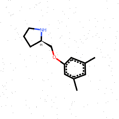 Cc1cc(C)cc(OC[C@H]2CCCN2)c1